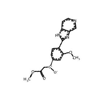 COC(=O)C[S+]([O-])c1ccc(-c2nc3cnccc3[nH]2)c(OC)c1